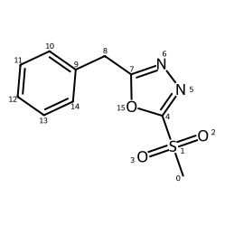 CS(=O)(=O)c1nnc(Cc2ccccc2)o1